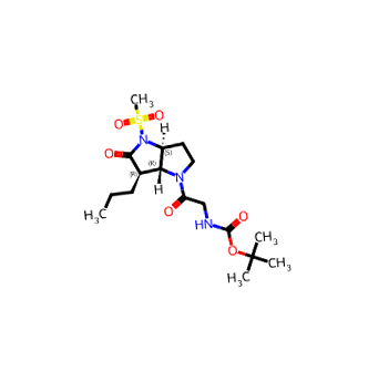 CCC[C@H]1C(=O)N(S(C)(=O)=O)[C@H]2CCN(C(=O)CNC(=O)OC(C)(C)C)[C@H]12